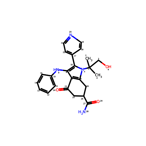 CC(C)(CO)n1c2c(c(Nc3ccccc3)c1-c1ccncc1)C(=O)CC(C(N)=O)C2